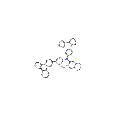 Cc1cc2c(cc1N(c1ccc(-c3ccc4c5ccccc5c5ccccc5c4c3)cc1)c1ccc(-c3ccccc3-c3ccccc3)cc1)CCCC2